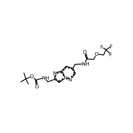 CC(C)(C)OC(=O)NCc1cn2ncc(CNC(=O)COCC(F)(F)F)cc2n1